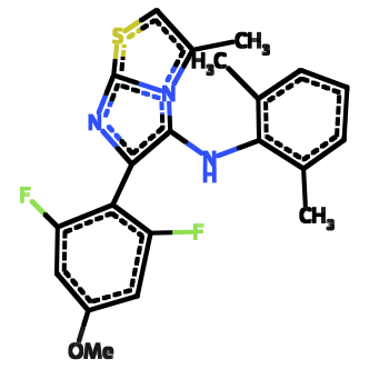 COc1cc(F)c(-c2nc3scc(C)n3c2Nc2c(C)cccc2C)c(F)c1